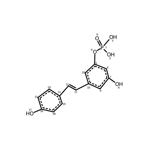 O=P(O)(O)Oc1cc(O)cc(/C=C/c2ccc(O)cc2)c1